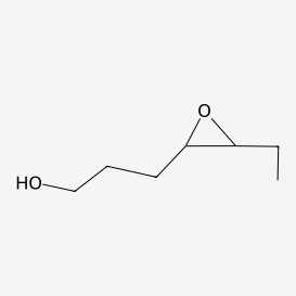 CCC1OC1CCCO